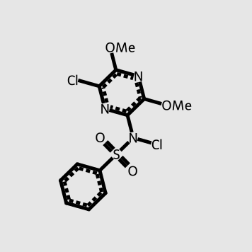 COc1nc(OC)c(N(Cl)S(=O)(=O)c2ccccc2)nc1Cl